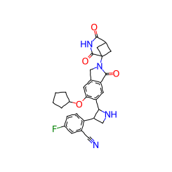 N#Cc1cc(F)ccc1C1CNC1c1cc2c(cc1OC1CCCC1)CN(C13CC(C1)C(=O)NC3=O)C2=O